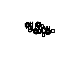 O=C(Nc1ccccn1)c1ccc(CN2C(=O)c3ccc(Cl)cc3NC(=O)[C@@H]2Cc2ccccn2)cc1